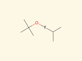 C[CH](C)[Y][O]C(C)(C)C